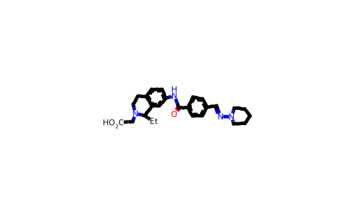 CCC1c2cc(NC(=O)c3ccc(C=NN4CCCCC4)cc3)ccc2CCN1CC(=O)O